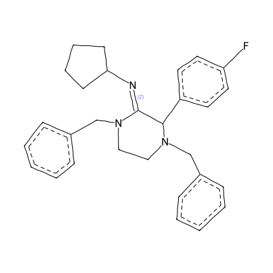 Fc1ccc(C2/C(=N/C3CCCC3)N(Cc3ccccc3)CCN2Cc2ccccc2)cc1